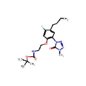 CCCCc1cc(-n2nnn(C)c2=O)c(OCCNC(=O)OC(C)(C)C)cc1F